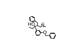 CCC(O)(c1cccc(OCc2ccccc2)c1)C(Cc1ccccc1)CN(C)C